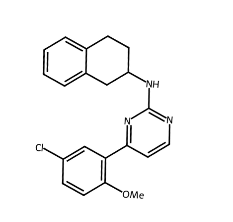 COc1ccc(Cl)cc1-c1ccnc(NC2CCc3ccccc3C2)n1